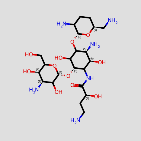 NCC[C@H](O)C(=O)NC1[C@H](O[C@H]2OC(CO)[C@H](O)[C@H](N)C2O)C(O)C(O[C@H]2O[C@H](CN)CCC2N)[C@@H](N)[C@H]1O